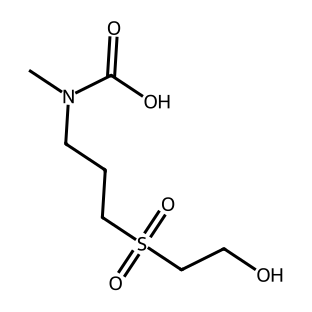 CN(CCCS(=O)(=O)CCO)C(=O)O